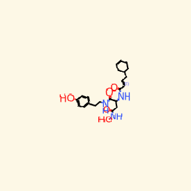 O=C(/C=C/CC1CCCCC1)NC(CC(=O)NO)C(=O)NCCc1ccc(O)cc1